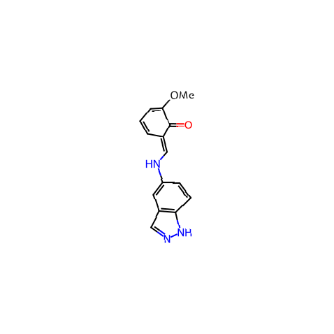 COC1=CC=C/C(=C\Nc2ccc3[nH]ncc3c2)C1=O